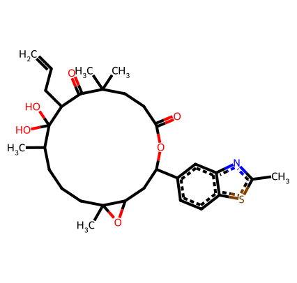 C=CCC1C(=O)C(C)(C)CCC(=O)OC(c2ccc3sc(C)nc3c2)CC2OC2(C)CCCC(C)C1(O)O